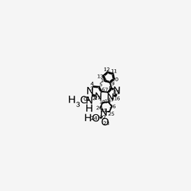 CNc1nccc(-c2c(-c3ccccc3)ncn2C2CCN(C(=O)O)CC2)n1